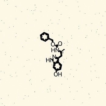 C[C@@H](Cc1n[nH]c2cc(O)ccc12)NC(=O)OCc1ccccc1